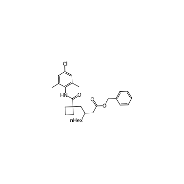 CCCCCCC(CC(=O)OCc1ccccc1)CC1(C(=O)Nc2c(C)cc(Cl)cc2C)CCC1